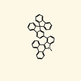 Cn1c2cccc(-c3ccc4c(c3)C3(c5ccccc5-c5ccccc53)c3ccccc3-4)c2c2c3ccccc3c3ccccc3c21